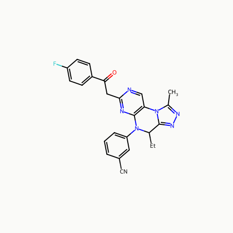 CCC1c2nnc(C)n2-c2cnc(CC(=O)c3ccc(F)cc3)nc2N1c1cccc(C#N)c1